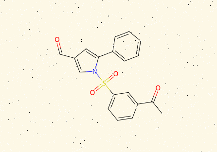 CC(=O)c1cccc(S(=O)(=O)n2cc(C=O)cc2-c2ccccc2)c1